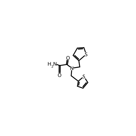 NC(=O)C(=O)N(Cc1cccs1)Cc1cccs1